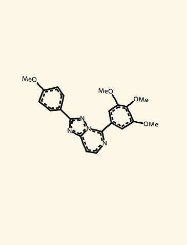 COc1ccc(-c2nc3ccnc(-c4cc(OC)c(OC)c(OC)c4)n3n2)cc1